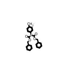 [CH2]c1ccc(N(C(=O)OCc2ccccc2)C(=O)OCc2ccccc2)cc1